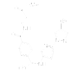 CCCC(Nc1ccc(-n2cc(C(C)(C)C)cn2)nc1)c1ccc(C(=O)N/C=C/C(=O)OC)cc1